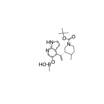 C=C(c1c(OB(C)O)cnc2[nH]ccc12)[C@@H]1CN(C(=O)OC(C)(C)C)CCC1C